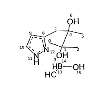 CC(C)(O)C(C)(O)Cc1cc[nH]n1.OBO